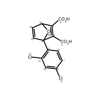 O=C(O)C1=C(C(=O)O)C2(c3ccc(Cl)cc3Cl)C=CC1O2